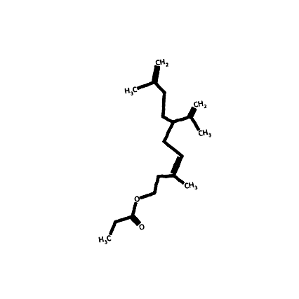 C=C(C)CCC(CC=C(C)CCOC(=O)CC)C(=C)C